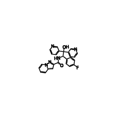 O=C(NC(c1ccc(F)cc1)C(O)(c1cccnc1)c1cccnc1)c1cc2ccccn2n1